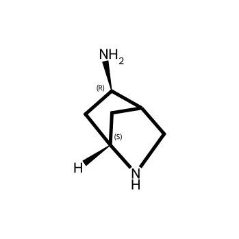 N[C@@H]1C[C@@H]2CC1CN2